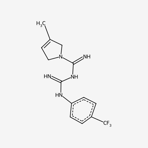 CC1=CCN(C(=N)NC(=N)Nc2ccc(C(F)(F)F)cc2)C1